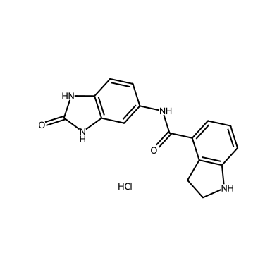 Cl.O=C(Nc1ccc2[nH]c(=O)[nH]c2c1)c1cccc2c1CCN2